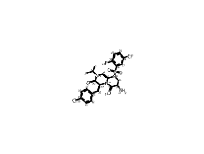 CC(C)N1C=C2N(C(=O)C(N)CN2S(=O)(=O)c2cc(Cl)ccc2F)C(Cc2ccc(Cl)cc2)C1=O